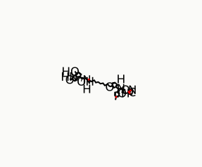 Cc1ccc(C(NC(=O)O[C@H]2CN3CCC2CC3)c2cccc(OCCCCCCCCCNC[C@@H](O)c3ccc(O)c4[nH]c(=O)ccc34)c2)cc1